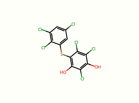 Oc1c(Cl)c(O)c(Sc2cc(Cl)cc(Cl)c2Cl)c(Cl)c1Cl